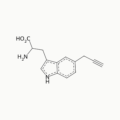 C#CCc1ccc2[nH]cc(CC(N)C(=O)O)c2c1